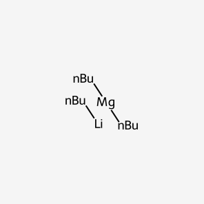 CCC[CH2][Mg][CH2]CCC.[Li][CH2]CCC